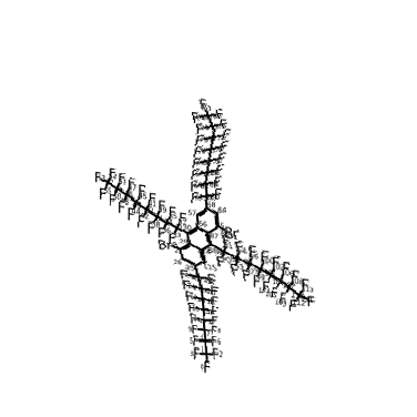 FC(F)(F)C(F)(F)C(F)(F)C(F)(F)C(F)(F)C(F)(F)C(F)(F)C(F)(F)c1cc(Br)c2c(C(F)(F)C(F)(F)C(F)(F)C(F)(F)C(F)(F)C(F)(F)C(F)(F)C(F)(F)F)c3cc(C(F)(F)C(F)(F)C(F)(F)C(F)(F)C(F)(F)C(F)(F)C(F)(F)C(F)(F)F)cc(Br)c3c(C(F)(F)C(F)(F)C(F)(F)C(F)(F)C(F)(F)C(F)(F)C(F)(F)C(F)(F)F)c2c1